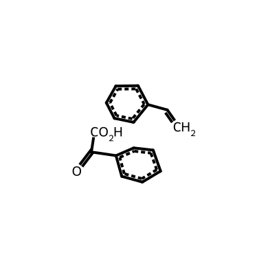 C=Cc1ccccc1.O=C(O)C(=O)c1ccccc1